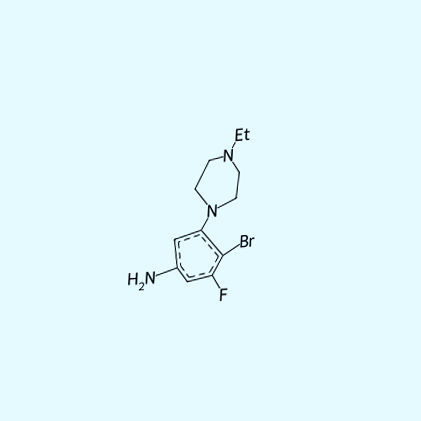 CCN1CCN(c2cc(N)cc(F)c2Br)CC1